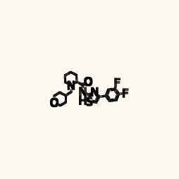 O=C(Nc1nc(-c2ccc(F)c(F)c2)cs1)[C@@H]1CCCCN1CC1CCOCC1